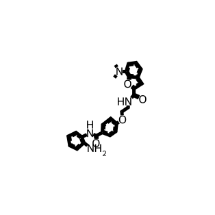 CN(C)c1cccc2cc(C(=O)NCCOc3ccc(C(=O)Nc4ccccc4N)cc3)oc12